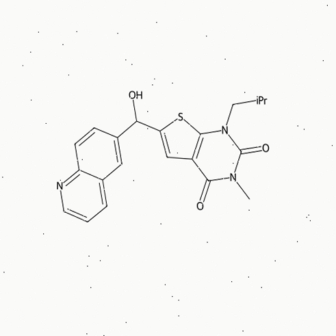 CC(C)Cn1c(=O)n(C)c(=O)c2cc(C(O)c3ccc4ncccc4c3)sc21